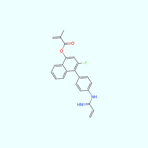 C=CC(=N)Nc1ccc(-c2c(F)cc(OC(=O)C(=C)C)c3ccccc23)cc1